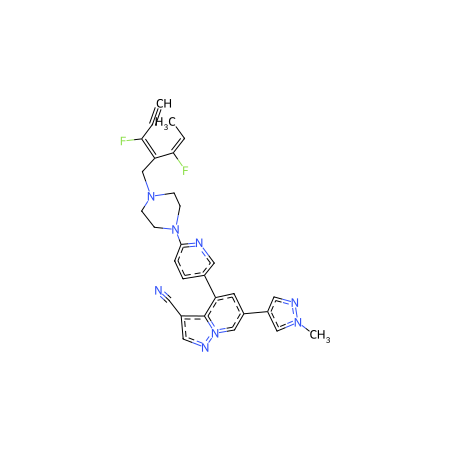 C#C/C(F)=C(CN1CCN(c2ccc(-c3cc(-c4cnn(C)c4)cn4ncc(C#N)c34)cn2)CC1)\C(F)=C/C